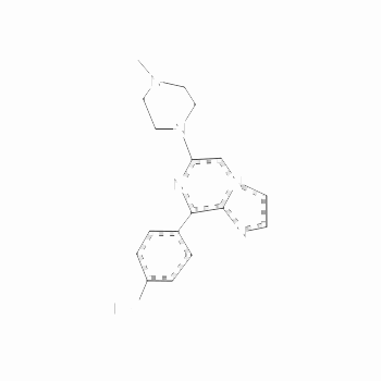 CN1CCN(c2cn3ccnc3c(-c3ccc(C(F)(F)F)cc3)n2)CC1